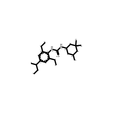 CCc1cc(C(C)CC)cc(CC)c1NC(=S)NC1CC(C)CC(C)(C)C1